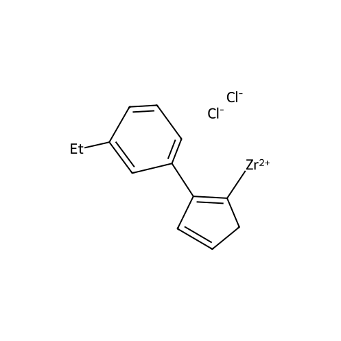 CCc1cccc(C2=[C]([Zr+2])CC=C2)c1.[Cl-].[Cl-]